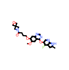 COc1cc2c(Oc3cnc4[nH]c(C)cc4c3F)ncnc2cc1OCCCC(=O)N1CC2(COC2)C1